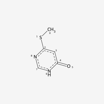 CSc1cc(=O)[nH]cn1